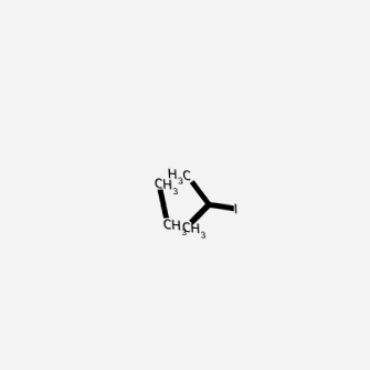 CC.CC(C)I